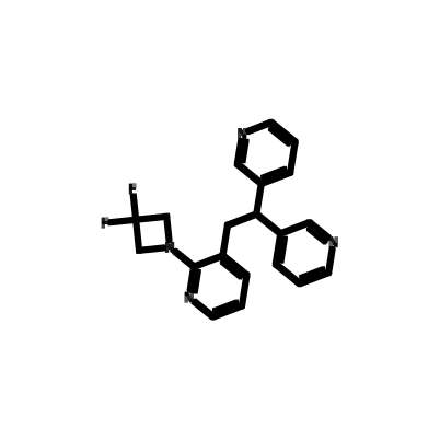 FC1(F)CN(c2ncccc2CC(c2cccnc2)c2cccnc2)C1